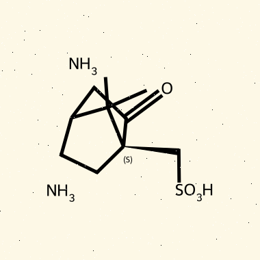 CC1(C)C2CC[C@@]1(CS(=O)(=O)O)C(=O)C2.N.N